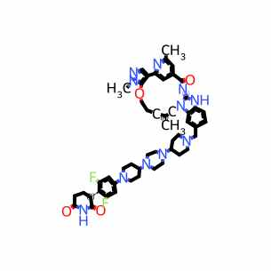 Cc1cc2cc(n1)-c1cnn(C)c1OCCC[C@@H](C)CN1/C(=N/C2=O)Nc2ccc(CN3CCC(N4CCN(C5CCN(c6cc(F)c([C@H]7CCC(=O)NC7=O)c(F)c6)CC5)CC4)CC3)cc21